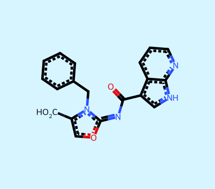 O=C(N=c1occ(C(=O)O)n1Cc1ccccc1)c1c[nH]c2ncccc12